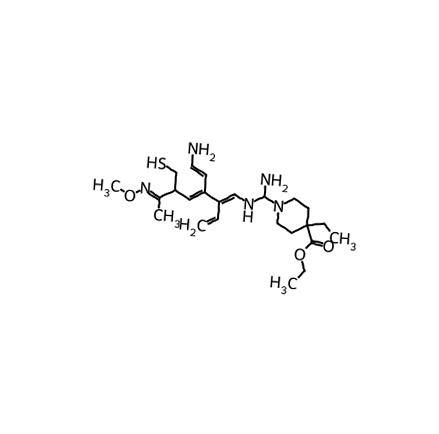 C=CC(=C\NC(N)N1CCC(CC)(C(=O)OCC)CC1)/C(/C=C/N)=C/C(CS)/C(C)=N/OC